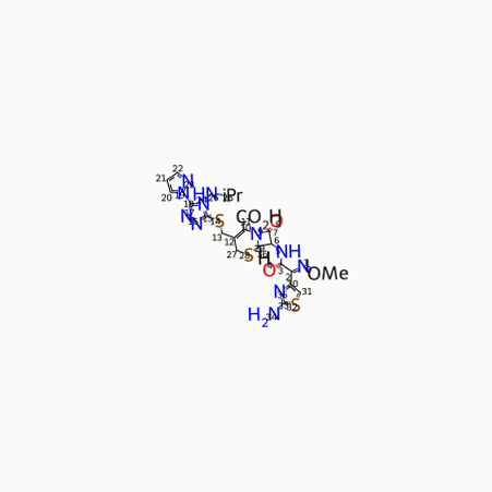 CON=C(C(=O)NC1C(=O)N2C(C(=O)O)=C(CSc3nnc(-n4cccn4)n3NC(C)C)CS[C@@H]12)c1csc(N)n1